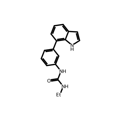 CCNC(=O)Nc1cccc(-c2cccc3cc[nH]c23)c1